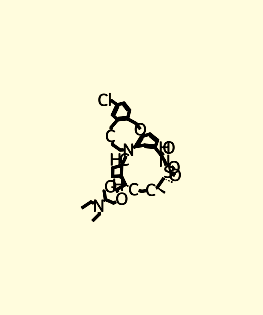 CCN(CC)[C@H]1CO[C@H]([C@H]2CCC[C@H](C)[C@@H](C)S(=O)(=O)NC(=O)c3ccc4c(c3)N(CCCCc3cc(Cl)ccc3CO4)C[C@@H]3CC[C@H]32)OC1